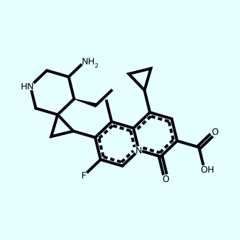 CC[C@@H]1C(N)CNCC12CC2c1c(F)cn2c(=O)c(C(=O)O)cc(C3CC3)c2c1C